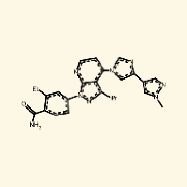 CCc1cc(-n2nc(C(C)C)c3c(-n4cnc(-c5cnn(C)c5)c4)ccnc32)ccc1C(N)=O